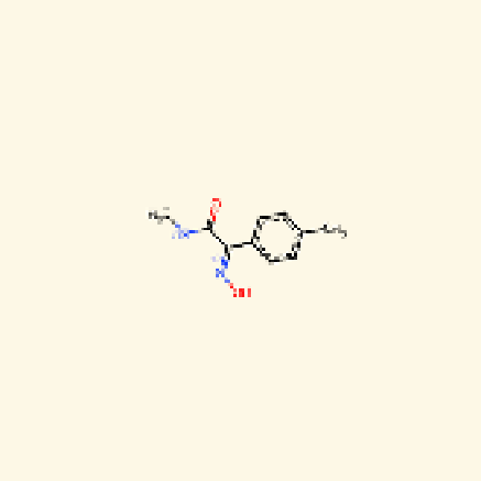 CNC(=O)/C(=N/O)c1ccc(C)cc1